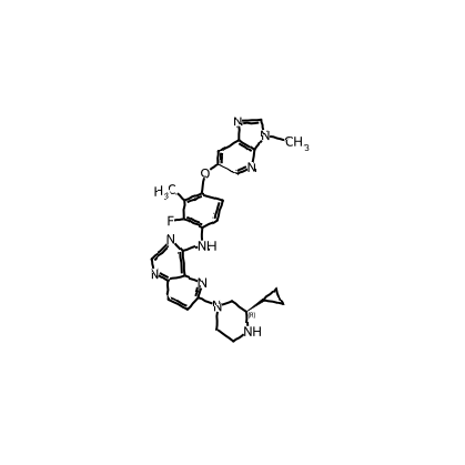 Cc1c(Oc2cnc3c(c2)ncn3C)ccc(Nc2ncnc3ccc(N4CCN[C@H](C5CC5)C4)nc23)c1F